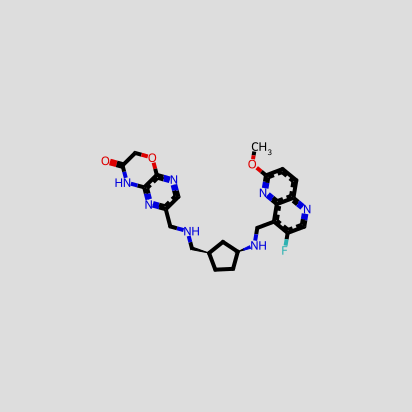 COc1ccc2ncc(F)c(CN[C@H]3CC[C@@H](CNCc4cnc5c(n4)NC(=O)CO5)C3)c2n1